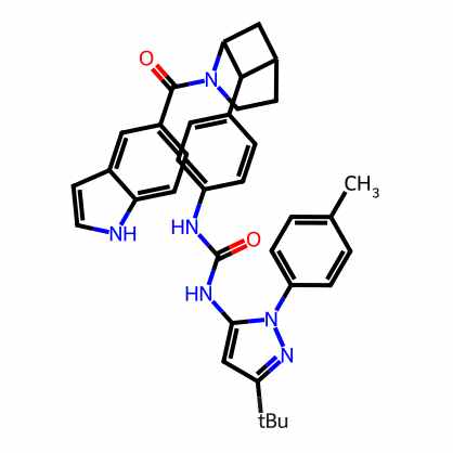 Cc1ccc(-n2nc(C(C)(C)C)cc2NC(=O)Nc2ccc(C3C4CCN(C(=O)c5ccc6[nH]ccc6c5)C3C4)cc2)cc1